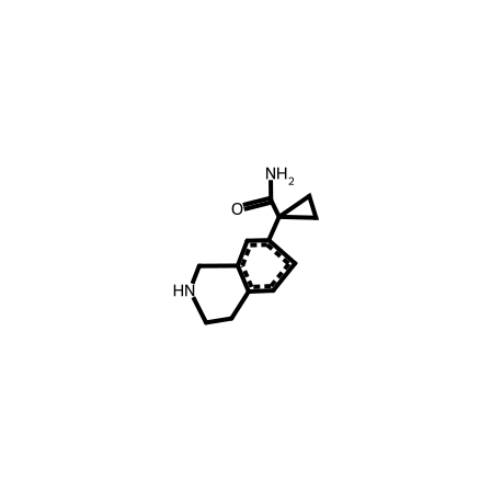 NC(=O)C1(c2ccc3c(c2)CNCC3)CC1